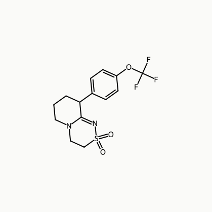 O=S1(=O)CCN2CCCC(c3ccc(OC(F)(F)F)cc3)C2=N1